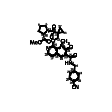 COC(=O)[C@@H]1CCCN1S(=O)(=O)C1(COc2nccc3cc(C(=O)NCc4ccc(C#N)cc4)c(=O)n(C)c23)CC1